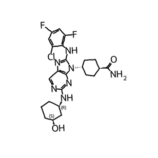 NC(=O)[C@H]1CC[C@H](n2c(Nc3c(F)cc(F)cc3Cl)nc3cnc(N[C@@H]4CCC[C@H](O)C4)nc32)CC1